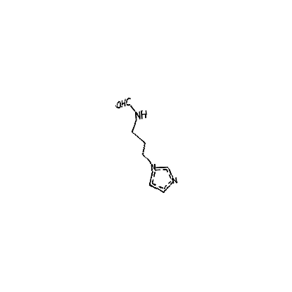 O=[C]NCCCn1ccnc1